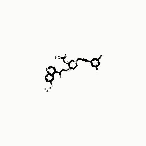 COc1ccc2nccc(C(F)CC[C@@H]3CCN(CC#Cc4cc(F)cc(F)c4)C[C@@H]3CC(=O)O)c2c1